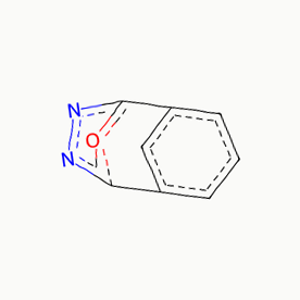 c1cc2cc(c1)-c1nnc-2o1